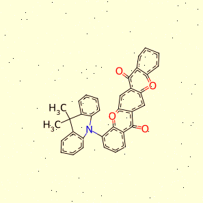 CC1(C)c2ccccc2N(c2cccc3c(=O)c4cc5oc6ccccc6c(=O)c5cc4oc23)c2ccccc21